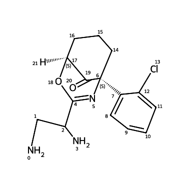 NCC(N)C1=N[C@]2(c3ccccc3Cl)CCC[C@H](O1)C2=O